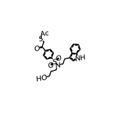 CC(=O)SCC(=O)c1ccc(S(=O)(=O)N(CCCO)CCc2c[nH]c3ccccc23)cc1